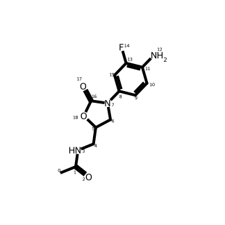 CC(=O)NCC1CN(c2ccc(N)c(F)c2)C(=O)O1